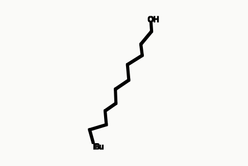 CCC(C)CCCCCCCCCCO